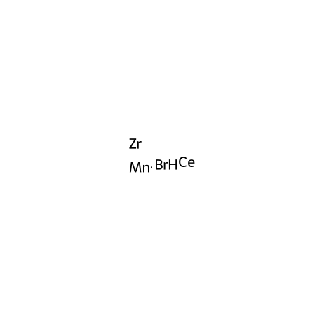 Br.[Ce].[Mn].[Zr]